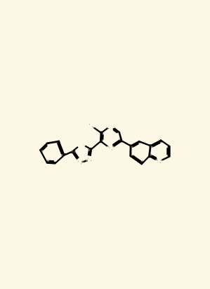 Nc1ncc(-c2ccc3ncccc3c2)nc1-c1nnc(-c2ccccc2)o1